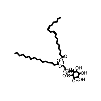 CCCCC/C=C\C/C=C\CCCCCCCC(=O)OC[C@H](COP(=O)(O)OC1C(O)C(O)C(O)[C@@H](O)C1O)OC(=O)CCCCCCCCCCCCCCC